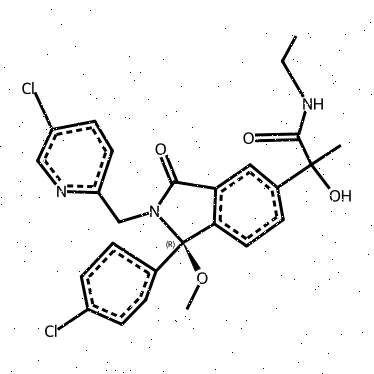 CCNC(=O)C(C)(O)c1ccc2c(c1)C(=O)N(Cc1ccc(Cl)cn1)[C@@]2(OC)c1ccc(Cl)cc1